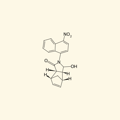 O=C1[C@@H]2[C@H](C(O)N1c1ccc([N+](=O)[O-])c3ccccc13)[C@@H]1C=C[C@H]2C1